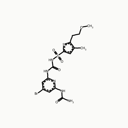 COCCc1sc(S(=O)(=O)NC(=O)Nc2cc(Br)cc(NC(N)=O)n2)cc1C